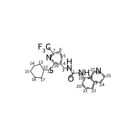 O=C(NCc1ccc(C(F)(F)F)nc1SC1CCCCC1)Nc1cccc2ccncc12